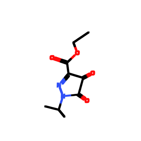 CCOC(=O)C1=NN(C(C)C)C(=O)C1=O